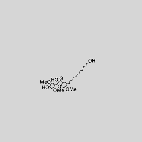 COc1cc(-c2oc3c(OC)c(OC)c(CCCCCCCCCCCCCO)cc3c(=O)c2O)ccc1O